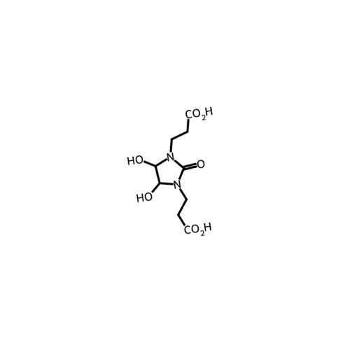 O=C(O)CCN1C(=O)N(CCC(=O)O)C(O)C1O